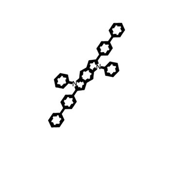 c1ccc(-c2ccc(-c3cc4cc5c(cc(-c6ccc(-c7ccccc7)cc6)n5-c5ccccc5)cc4n3-c3ccccc3)cc2)cc1